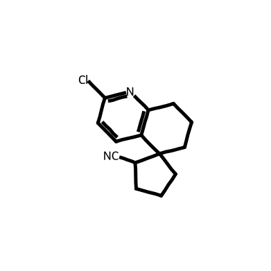 N#CC1CCCC12CCCc1nc(Cl)ccc12